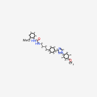 COc1ccccc1NC(=O)NCCCCc1ccc(-c2ncn(-c3ccc(OC(F)(F)F)cc3)n2)cc1